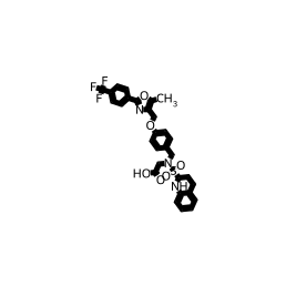 Cc1oc(-c2ccc(C(F)(F)F)cc2)nc1COc1ccc(CN(CC(=O)O)S(=O)(=O)C2CCc3ccccc3N2)cc1